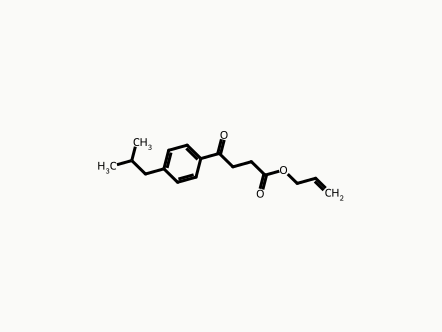 C=CCOC(=O)CCC(=O)c1ccc(CC(C)C)cc1